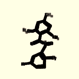 Cc1cc(C)c(C(=O)[PH](=O)c2cc(C(C)C)ccc2C(C)C)c(C)c1